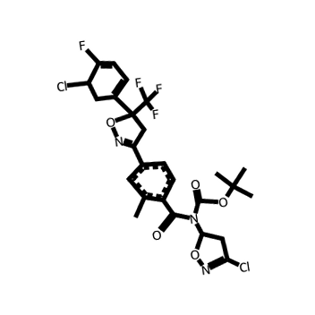 Cc1cc(C2=NOC(C3=CC=C(F)C(Cl)C3)(C(F)(F)F)C2)ccc1C(=O)N(C(=O)OC(C)(C)C)C1CC(Cl)=NO1